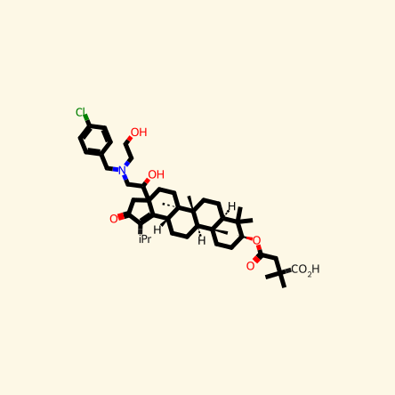 CC(C)C1=C2[C@H]3CC[C@@H]4[C@@]5(C)CC[C@H](OC(=O)CC(C)(C)C(=O)O)C(C)(C)[C@@H]5CC[C@@]4(C)[C@]3(C)CCC2(C(O)CN(CCO)Cc2ccc(Cl)cc2)CC1=O